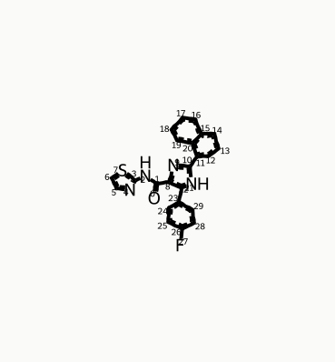 O=C(Nc1nccs1)c1nc(-c2cccc3ccccc23)[nH]c1-c1ccc(F)cc1